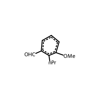 CCCc1c(C=O)cccc1OC